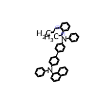 C=C/C=c1/cccc/c1=C(/C)N(c1ccccc1)c1ccc(-c2ccc(N(c3ccccc3)c3cccc4ccccc34)cc2)cc1